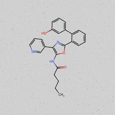 CCCCC(=O)Nc1oc(-c2ccccc2-c2cccc(O)c2)nc1-c1cccnc1